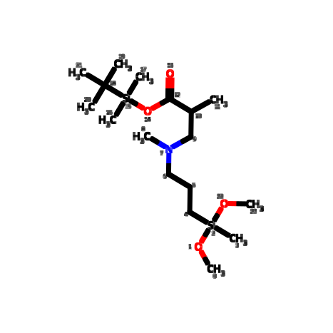 CO[Si](C)(CCCN(C)CC(C)C(=O)O[Si](C)(C)C(C)(C)C)OC